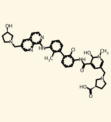 Cc1c(Nc2nccc3cc(CN4CC[C@@H](O)C4)cnc23)cccc1-c1cccc(NC(=O)C2=CC(CN3CC[C@@H](C(=O)O)C3)=CN(C)C2O)c1Cl